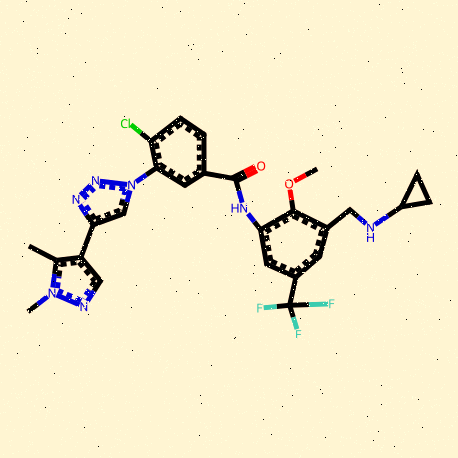 COc1c(CNC2CC2)cc(C(F)(F)F)cc1NC(=O)c1ccc(Cl)c(-n2cc(-c3cnn(C)c3C)nn2)c1